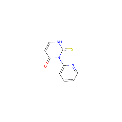 O=C1C=CNC(=S)[N+]1c1ccccn1